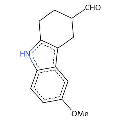 COc1ccc2[nH]c3c(c2c1)CC(C=O)CC3